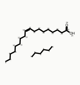 CCCCCC.CCCCCCCC/C=C\CCCCCCCC(=O)O